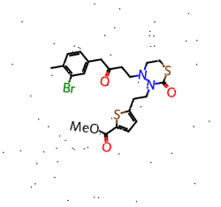 COC(=O)c1ccc(CCN2C(=O)SCCN2CCC(=O)Cc2ccc(C)c(Br)c2)s1